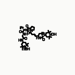 CCC1(C)CC(NC(=O)CNC(=O)C(NC(=O)C2CCCN2C(=O)C/C=C/C(CC(C)C)NC(=O)OC2CC(C)(C)N(O)C(C)(C)C2)C(C)C)CC(C)(C)N1O